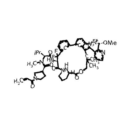 C=CC(=O)N1CC[C@H](C(=O)N(C)[C@H](C(=O)N[C@@H]2C(=O)N3CCC[C@H](N3)C(=O)OCC(C)(C)Cc3c(-c4cccnc4[C@H](C)OC)n(CC)c4ccc(cc34)-c3cccc(c3)C2(F)F)C(C)C)C1